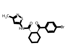 Cc1cc(NC(=O)[C@H]2CCCC[C@@H]2C(=O)c2ccc(Br)cc2)sn1